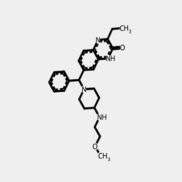 CCc1nc2ccc(C(c3ccccc3)N3CCC(NCCOC)CC3)cc2[nH]c1=O